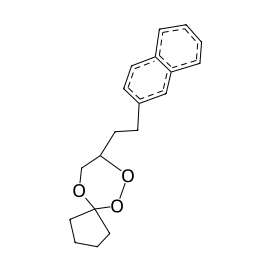 c1ccc2cc(CCC3COC4(CCCC4)OO3)ccc2c1